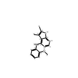 COc1ccccc1Nc1ncnc2sc(C)c(C)c12